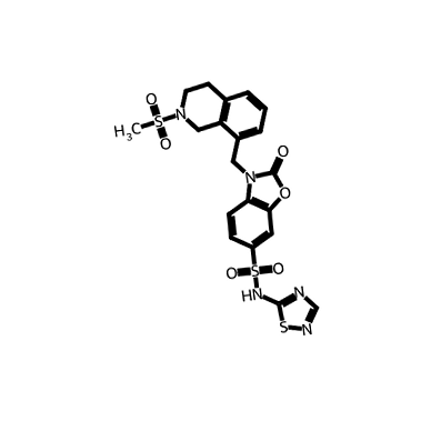 CS(=O)(=O)N1CCc2cccc(Cn3c(=O)oc4cc(S(=O)(=O)Nc5ncns5)ccc43)c2C1